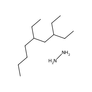 CCCCC(CC)CC(CC)CC.NN